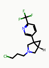 FC(F)(F)c1ccc(C23C[C@@H]2CN(CCCCl)C3)cn1